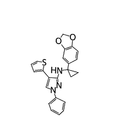 c1ccc(-n2cc(-c3cccs3)c(NC3(c4ccc5c(c4)OCO5)CC3)n2)cc1